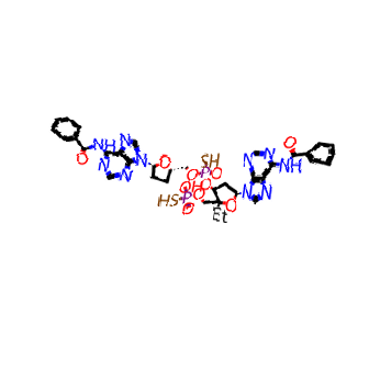 CC[C@]1(COP(=O)(O)S)O[C@@H](n2cnc3c(NC(=O)c4ccccc4)ncnc32)C[C@@H]1O[P@](=O)(S)OC[C@@H]1CC[C@H](n2cnc3c(NC(=O)c4ccccc4)ncnc32)O1